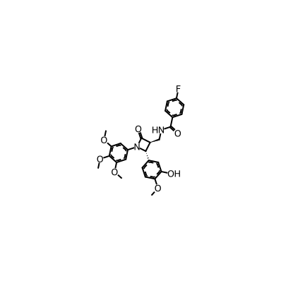 COc1ccc([C@H]2[C@H](CNC(=O)c3ccc(F)cc3)C(=O)N2c2cc(OC)c(OC)c(OC)c2)cc1O